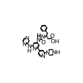 O=C(O)C[C@H](Cc1ccccc1)NC(=O)Nc1cc(Nc2cnccn2)nc(-c2ccnc(N3CCNCC3)c2)c1